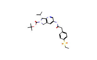 CCS(=O)(=O)c1ccc(CC(=O)Nc2cnc3c(c2)CN(C(=O)OC(C)(C)C)[C@H]3C(C)C)cc1